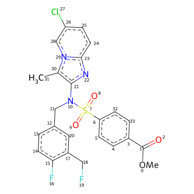 COC(=O)c1ccc(S(=O)(=O)N(Cc2ccc(F)c(CF)c2)c2nc3ccc(Cl)cn3c2C)cc1